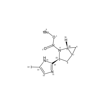 CC(C)(C)OC(=O)N1[C@@H]2CC2C[C@H]1c1ncc(I)[nH]1